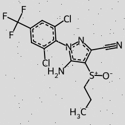 CCC[S+]([O-])c1c(C#N)nn(-c2c(Cl)cc(C(F)(F)F)cc2Cl)c1N